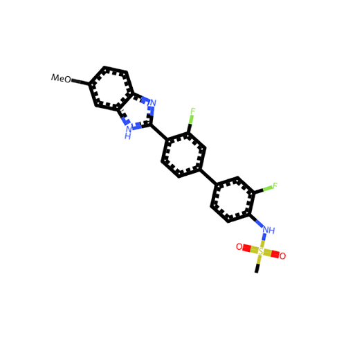 COc1ccc2nc(-c3ccc(-c4ccc(NS(C)(=O)=O)c(F)c4)cc3F)[nH]c2c1